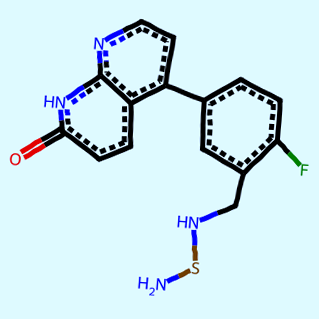 NSNCc1cc(-c2ccnc3[nH]c(=O)ccc23)ccc1F